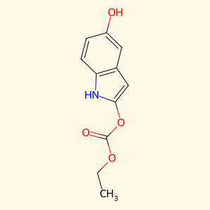 CCOC(=O)Oc1cc2cc(O)ccc2[nH]1